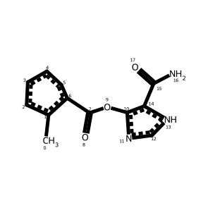 Cc1ccccc1C(=O)Oc1nc[nH]c1C(N)=O